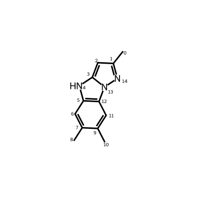 Cc1cc2[nH]c3cc(C)c(C)cc3n2n1